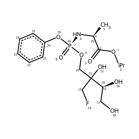 CC(C)OC(=O)[C@H](C)N[P@](=O)(OCC(O)(CF)[C@@H](O)CO)Oc1ccccc1